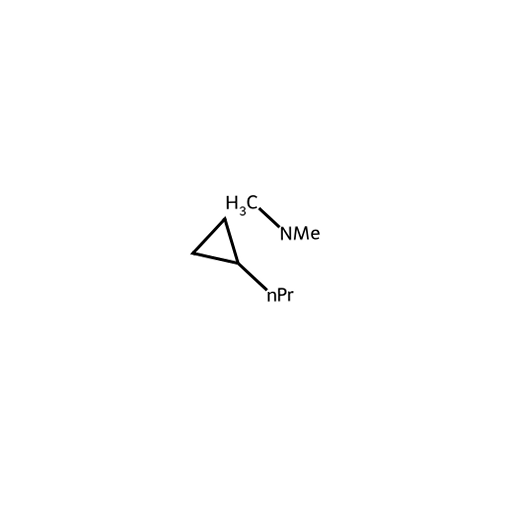 CCCC1CC1.CNC